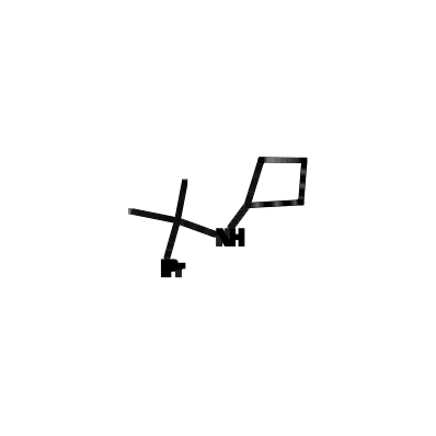 CC(C)C(C)(C)NC1CCC1